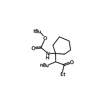 CCCCC(C(=O)CC)C1(NC(=O)OC(C)(C)C)CCCCC1